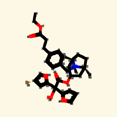 CCOC(=O)CCc1ccc(C[N@+]2(C)[C@@H]3CC[C@H]2C[C@@H](OC(=O)C(O)(c2ccco2)c2ccco2)C3)cc1.[Br-]